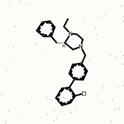 CCN1CCN(Cc2ccc(-c3ccccc3Cl)cc2)C[C@@H]1Cc1ccccc1